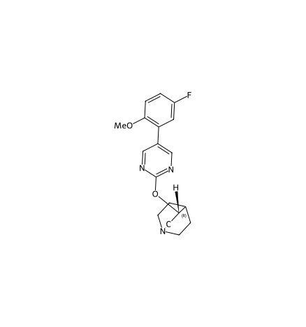 COc1ccc(F)cc1-c1cnc(O[C@H]2CN3CCC2CC3)nc1